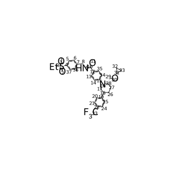 CCS(=O)(=O)c1ccc(CNC(=O)c2ccc(N3CC(c4ccc(C(F)(F)F)cc4)CC[C@H]3COC3CC3)cc2)cc1